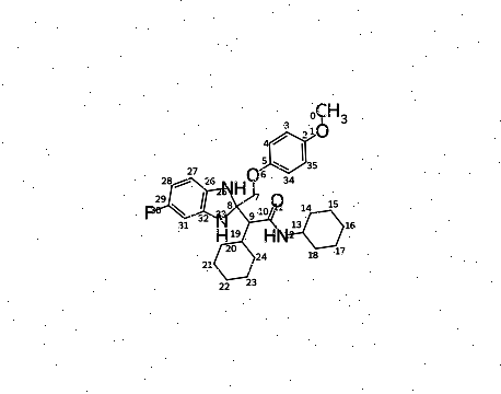 COc1ccc(OCC2(C(C(=O)NC3CCCCC3)C3CCCCC3)Nc3ccc(F)cc3N2)cc1